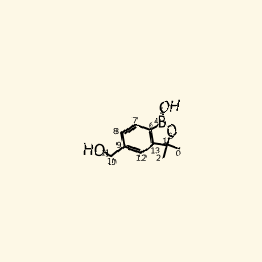 CC1(C)OB(O)c2ccc(CO)cc21